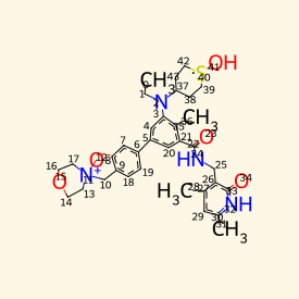 CCN(c1cc(-c2ccc(C[N+]3([O-])CCOCC3)cc2)cc(C(=O)NCc2c(C)cc(C)[nH]c2=O)c1C)C1CC[S](O)CC1